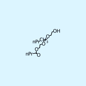 CCCC.CCCC(=O)OCCOCCOCCO